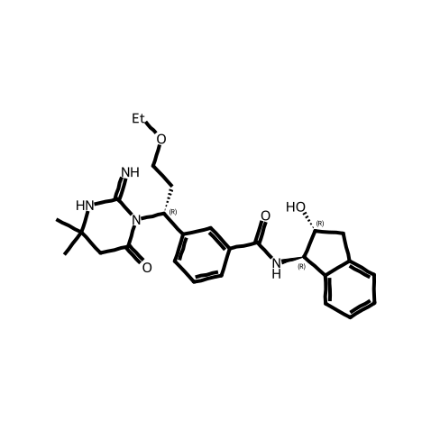 CCOCC[C@H](c1cccc(C(=O)N[C@@H]2c3ccccc3C[C@H]2O)c1)N1C(=N)NC(C)(C)CC1=O